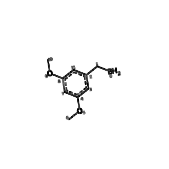 BCc1cc(OC)cc(OC)c1